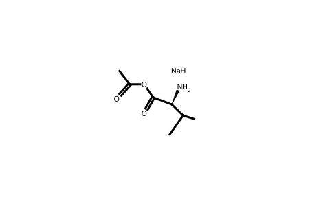 CC(=O)OC(=O)[C@@H](N)C(C)C.[NaH]